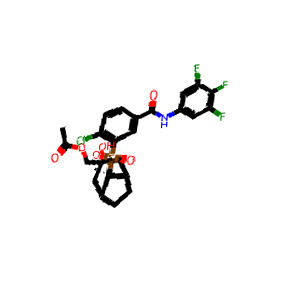 CC(=O)OC[C@]1(O)CC2CCC(C1)[C@@]2(C)S(=O)(=O)c1cc(C(=O)Nc2cc(F)c(F)c(F)c2)ccc1Cl